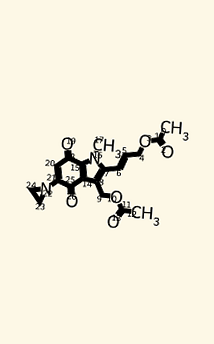 CC(=O)OC/C=C/c1c(COC(C)=O)c2c(n1C)C(=O)C=C(N1CC1)C2=O